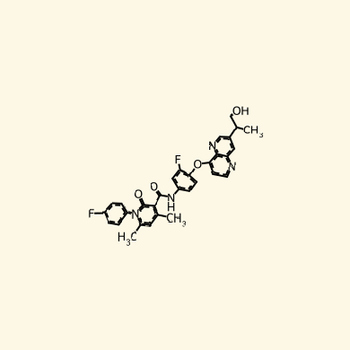 Cc1cc(C)n(-c2ccc(F)cc2)c(=O)c1C(=O)Nc1ccc(Oc2ccnc3cc(C(C)CO)cnc23)c(F)c1